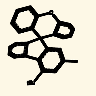 Cc1cc(C(C)(C)C)c2c(c1)C1(c3ccccc3Oc3ccccc31)c1ccccc1-2